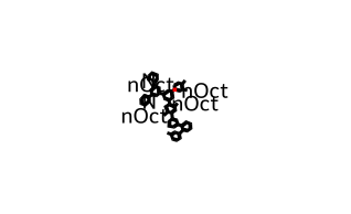 CCCCCCCCc1cc(-c2cc(-c3cc(-c4ccccn4)cc(-c4ccccn4)c3)cc(-c3cc(CCCCCCCC)c(-c4cccc(-c5ccccc5-c5cccc(C)c5)c4)cc3CCCCCCCC)c2)c(CCCCCCCC)cc1C